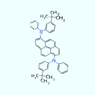 CC(C)(C)c1cccc(N(c2ccccc2)c2ccc3ccc4c(N(c5ccccc5)c5cccc(C(C)(C)C)c5)ccc5ccc2c3c54)c1